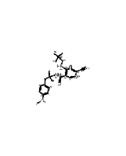 COc1ccc(CC(C)(C)NC(=O)c2cnc(C#N)nc2NCC(C)(C)C)cc1